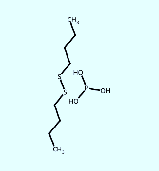 CCCCSSCCCC.OP(O)O